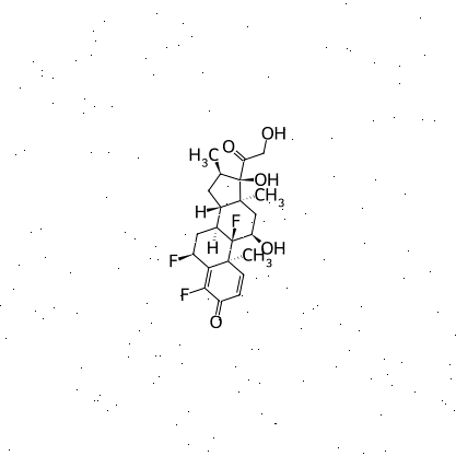 C[C@@H]1C[C@H]2[C@@H]3C[C@H](F)C4=C(F)C(=O)C=C[C@]4(C)[C@@]3(F)[C@H](O)C[C@]2(C)[C@@]1(O)C(=O)CO